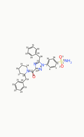 NS(=O)(=O)c1ccc(-n2nc(C(=O)N3CCCCC3Cc3ccccc3)nc2Cc2ccccc2)cc1